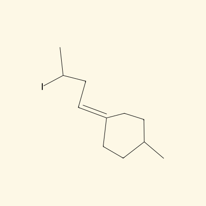 CC(I)CC=C1CCC(C)CC1